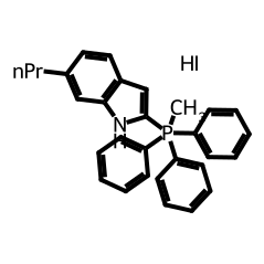 CCCc1ccc2cc(P(C)(c3ccccc3)(c3ccccc3)c3ccccc3)[nH]c2c1.I